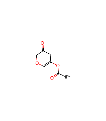 CC(C)C(=O)OC1=COCC(=O)C1